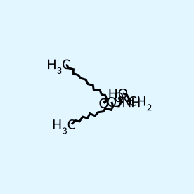 [CH2][C@H](CO)NC(=O)C[C@@H](CCCCCCCCCCC)OC(=O)CCCCCCCCCCCCC